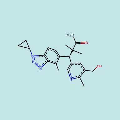 COC(=O)C(C)(C)[C@@H](c1cnc(C)c(CO)c1)c1ccc2c(nnn2C2CC2)c1C